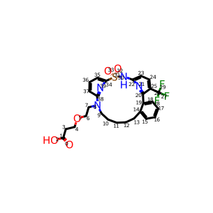 O=C(O)CCOCCN1CCCCCc2ccccc2-c2nc(ccc2C(F)(F)F)NS(=O)(=O)c2cccc1n2